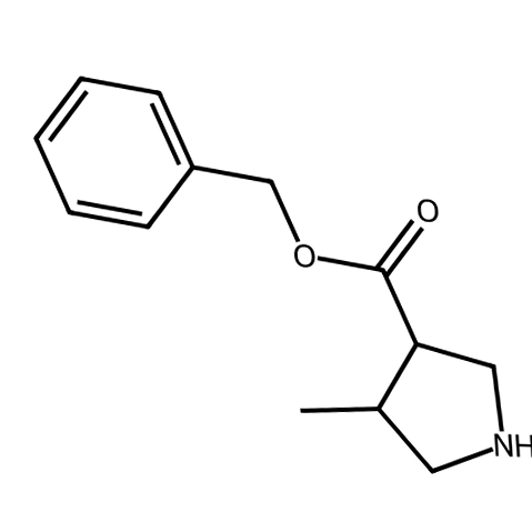 CC1CNCC1C(=O)OCc1ccccc1